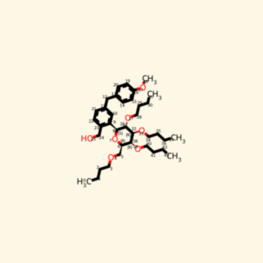 CCCCOC[C@H]1O[C@@H](c2cc(Cc3ccc(OC)cc3)ccc2CO)[C@H](OCCCC)[C@@H](OCCCC)[C@@H]1OCCCC